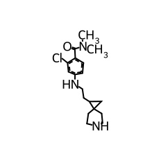 CN(C)C(=O)c1ccc(NCCC2CC23CCNCC3)cc1Cl